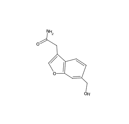 NC(=O)Cc1coc2cc(CO)ccc12